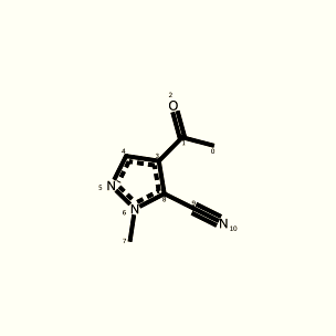 CC(=O)c1cnn(C)c1C#N